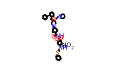 O=C(NS(=O)(=O)c1ccc(NCCSc2ccccc2)c([N+](=O)[O-])c1)c1ccc(N2CCC(Cc3ccccc3-c3ccccc3)(OCCN3CCCCC3)CC2)cc1